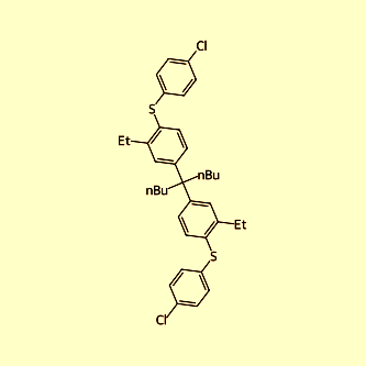 CCCCC(CCCC)(c1ccc(Sc2ccc(Cl)cc2)c(CC)c1)c1ccc(Sc2ccc(Cl)cc2)c(CC)c1